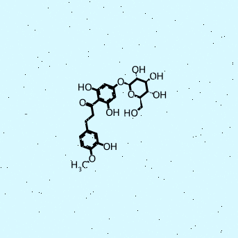 COc1ccc(CCC(=O)c2c(O)cc(O[C@@H]3O[C@H](CO)[C@@H](O)[C@H](O)[C@H]3O)cc2O)cc1O